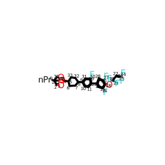 CCCC12COC(C3CCC(c4ccc(-c5cc(F)c(OC(F)(F)C=C(F)F)c(F)c5)c(F)c4)CC3)(OC1)OC2